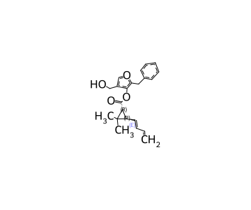 C=C/C=C/[C@@H]1[C@@H](C(=O)Oc2c(CO)coc2Cc2ccccc2)C1(C)C